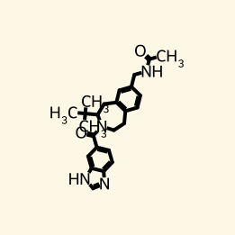 CC(=O)NCc1ccc2c(c1)CC(C(C)(C)C)N(C(=O)c1ccc3nc[nH]c3c1)CC2